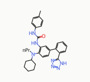 CCCN(c1ccc(-c2ccccc2-c2nnn[nH]2)cc1NC(=O)Nc1ccc(C)cc1)C1CCCCC1